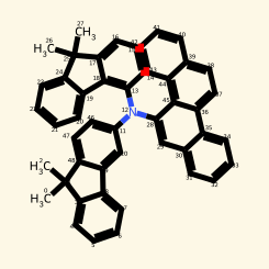 CC1(C)c2ccccc2-c2cc(N(c3cccc4c3-c3ccccc3C4(C)C)c3cc4ccccc4c4ccc5ccccc5c34)ccc21